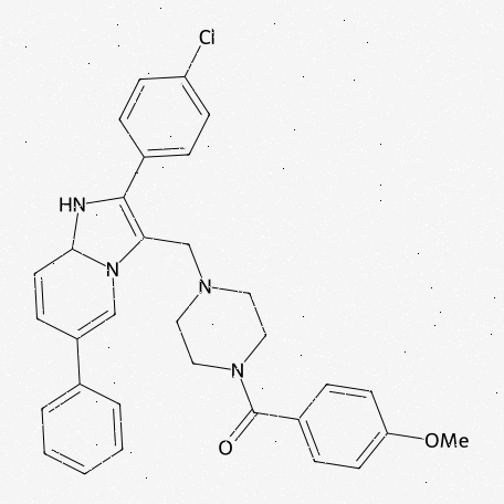 COc1ccc(C(=O)N2CCN(CC3=C(c4ccc(Cl)cc4)NC4C=CC(c5ccccc5)=CN34)CC2)cc1